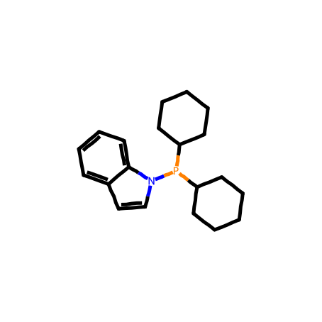 c1ccc2c(c1)ccn2P(C1CCCCC1)C1CCCCC1